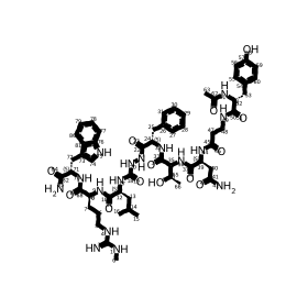 CNC(=N)NCCC[C@H](NC(=O)[C@H](CC(C)C)NC(=O)NNC(=O)[C@H](Cc1ccccc1)NC(=O)C(NC(=O)[C@H](CC(N)=O)NC(=O)CCNC(=O)[C@@H](Cc1ccc(O)cc1)NC(C)=O)[C@@H](C)O)C(=O)N[C@@H](Cc1c[nH]c2ccccc12)C(N)=O